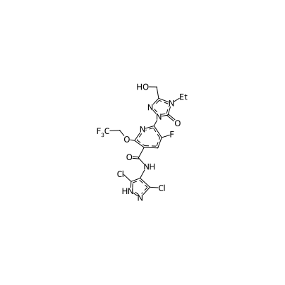 CCn1c(CO)nn(-c2nc(OCC(F)(F)F)c(C(=O)Nc3c(Cl)n[nH]c3Cl)cc2F)c1=O